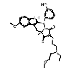 CCN(CCCN1C(=O)N2[C@H](c3cccc(O)c3)c3[nH]c4ccc(OC)cc4c3C[C@@]2(C)C1=O)CCOC